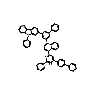 c1ccc(-c2ccc(-c3cc(-c4ccc(-c5cc(-c6ccccc6)cc(-c6ccc7c8ccccc8n(-c8ccccc8)c7c6)c5)c5ccccc45)nc(-c4ccccc4)n3)cc2)cc1